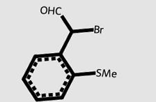 CSc1ccccc1C(Br)C=O